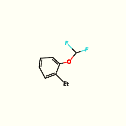 CCc1ccccc1OC(F)F